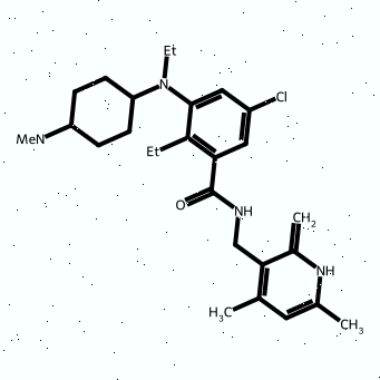 C=C1NC(C)=CC(C)=C1CNC(=O)c1cc(Cl)cc(N(CC)C2CCC(NC)CC2)c1CC